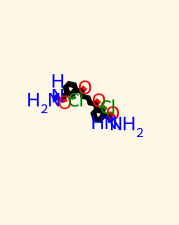 NNC(=O)c1cccc(C(=O)CCCC(=O)c2cccc(C(=O)NN)c2Cl)c1Cl